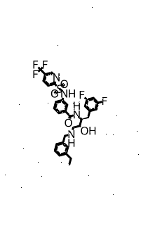 CCc1cccc(CNC[C@@H](O)[C@H](Cc2cc(F)cc(F)c2)NC(=O)c2cccc(NS(=O)(=O)c3ccc(C(F)(F)F)cn3)c2)c1